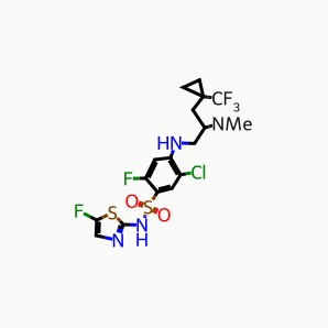 CNC(CNc1cc(F)c(S(=O)(=O)Nc2ncc(F)s2)cc1Cl)CC1(C(F)(F)F)CC1